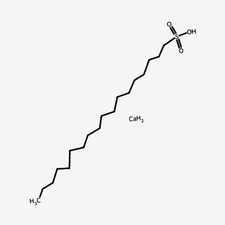 CCCCCCCCCCCCCCCCCCS(=O)(=O)O.[CaH2]